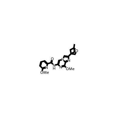 COc1cccc(C(=O)Nc2cn3cc(C45COC(C)(C4)C5)nc3c(OC)n2)n1